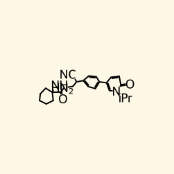 CC(C)n1cc(-c2ccc(C(C#N)CNC(=O)C3(N)CCCCC3)cc2)ccc1=O